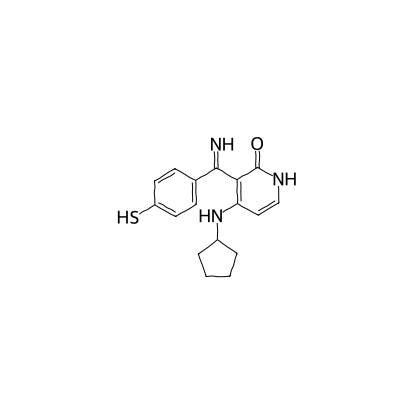 N=C(c1ccc(S)cc1)c1c(NC2CCCC2)cc[nH]c1=O